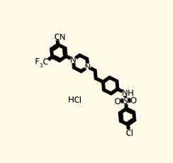 Cl.N#Cc1cc(N2CCN(CCC3CCC(NS(=O)(=O)c4ccc(Cl)cc4)CC3)CC2)cc(C(F)(F)F)c1